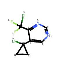 FC(F)(Cl)c1ncncc1C1(Cl)CC1